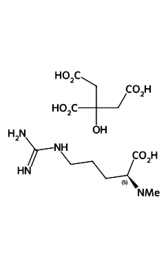 CN[C@@H](CCCNC(=N)N)C(=O)O.O=C(O)CC(O)(CC(=O)O)C(=O)O